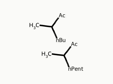 CCCCC(C)C(C)=O.CCCCCC(C)C(C)=O